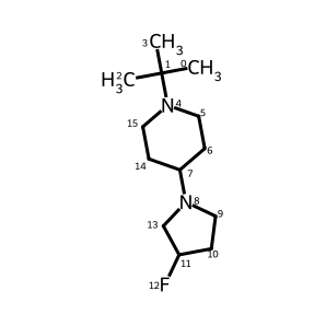 CC(C)(C)N1CCC(N2CCC(F)C2)CC1